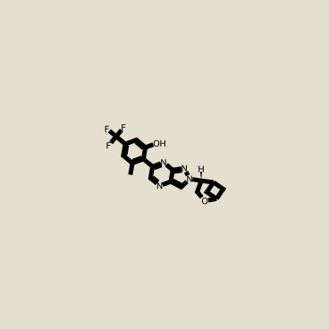 Cc1cc(C(F)(F)F)cc(O)c1-c1cnc2cn([C@@H]3COC4CC3C4)nc2n1